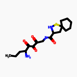 CCCC(N)C(=O)C(=O)C(=O)C[N]C(=O)C1CC2(CCCCC2)SN1